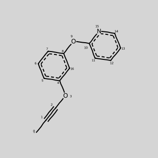 [CH2]C#COc1cccc(Oc2ccccn2)c1